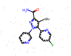 CCCCc1c(C(N)=O)nn(-c2cccnc2)c1-c1ccc(F)cn1